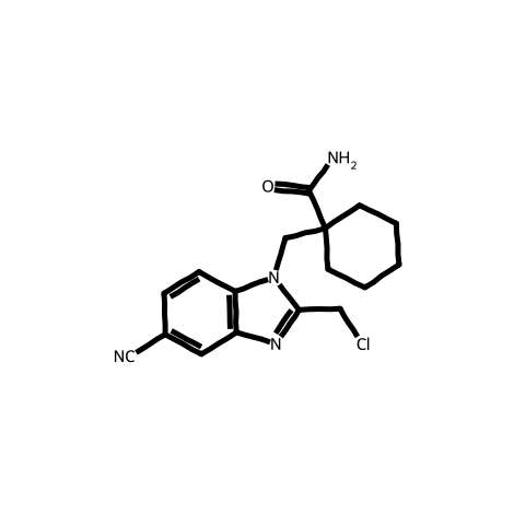 N#Cc1ccc2c(c1)nc(CCl)n2CC1(C(N)=O)CCCCC1